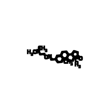 CN(C)CCON=CC1C=C2CCC3C4CCC(=O)C4(C)CCC3C2(C)CC1